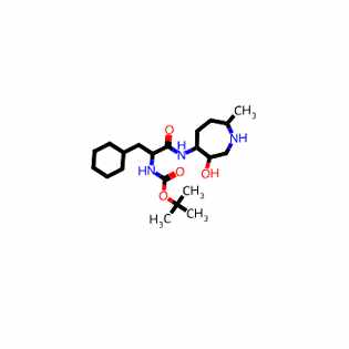 CC1CCC(NC(=O)C(CC2CCCCC2)NC(=O)OC(C)(C)C)C(O)CN1